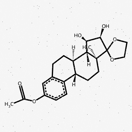 CC(=O)Oc1ccc2c(c1)CC[C@H]1[C@@H]3[C@@H](O)[C@@H](O)C4(OCCO4)[C@@]3(C)CC[C@H]21